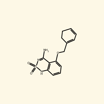 NC1=NS(=O)(=O)Nc2cccc(OCC3=CC=CCC3)c21